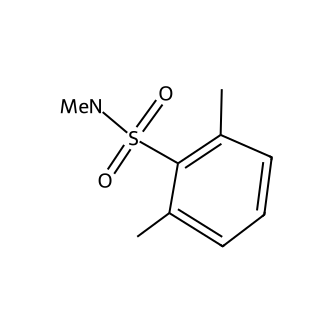 CNS(=O)(=O)c1c(C)cccc1C